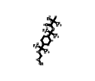 CCOCOC(C1CCC(C(OC(=O)C(C)(CC)C(F)(F)F)(C(F)(F)F)C(F)(F)F)CC1)(C(F)(F)F)C(F)(F)F